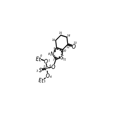 CCOP(=S)(OCC)Oc1nc2c(s1)C(=O)CCC2